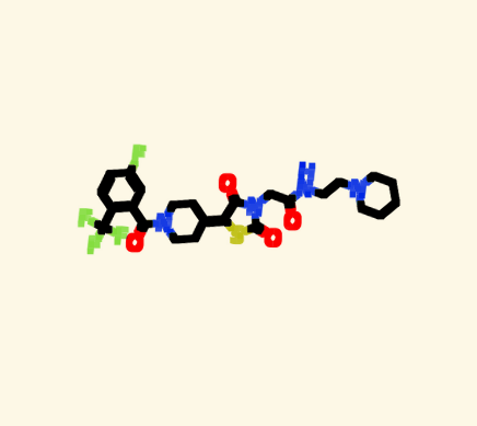 O=C(CN1C(=O)SC(=C2CCN(C(=O)c3cc(F)ccc3C(F)(F)F)CC2)C1=O)NCCN1CCCCC1